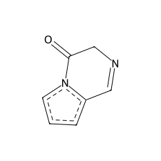 O=C1CN=Cc2cccn21